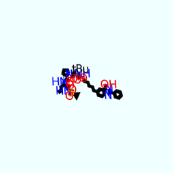 C=CCC(NC(=O)[C@@H]1CCCN1C(=O)[C@@H](NC(=O)OCCCCCc1ccc2nc(-c3ccccc3)nc(O)c2c1)C(C)(C)C)C(=O)NS(=O)(=O)C1CC1